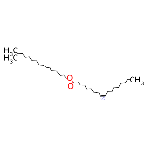 CCCCCCCC/C=C\CCCCCCCC(=O)OCCCCCCCCCCCCCCC(C)C